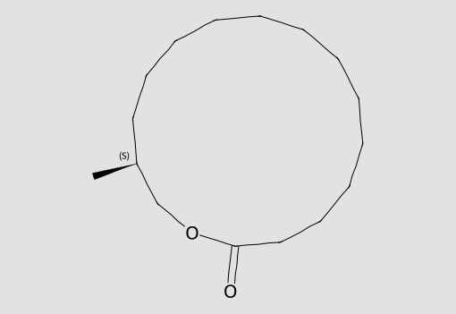 C[C@H]1CCCCCCCCCCCCC(=O)OC1